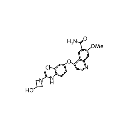 C=C(Nc1ccc(Oc2ccnc3cc(OC)c(C(N)=O)cc23)cc1Cl)N1CC(O)C1